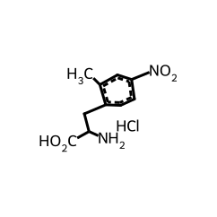 Cc1cc([N+](=O)[O-])ccc1CC(N)C(=O)O.Cl